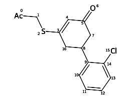 CC(=O)CSC1=CC(=O)CC(c2ccccc2Cl)C1